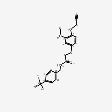 C#CCOc1ccc(CCC(=O)NCc2ccc(C(F)(F)F)cc2)cc1OC